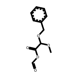 COC(OCc1ccccc1)C(=O)OC=O